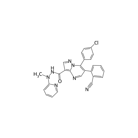 CN(NC(=O)c1cnn2c(-c3ccc(Cl)cc3)c(-c3ccccc3C#N)cnc12)c1ccccn1